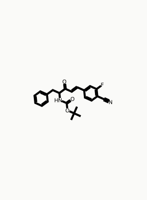 CC(C)(C)OC(=O)NC(Cc1ccccc1)C(=O)C=Cc1ccc(C#N)c(F)c1